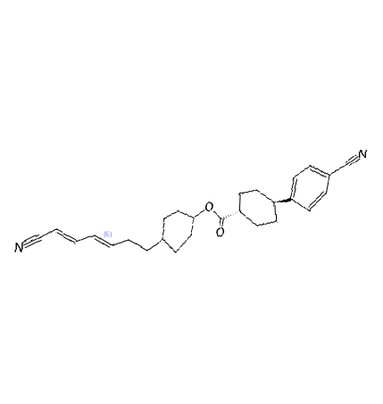 N#CC=C/C=C/CCC1CCC(OC(=O)[C@H]2CC[C@H](c3ccc(C#N)cc3)CC2)CC1